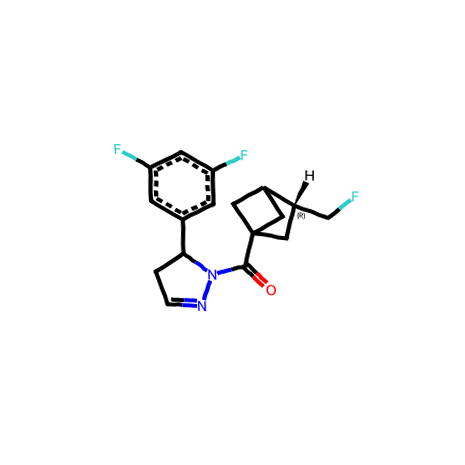 O=C(N1N=CCC1c1cc(F)cc(F)c1)C12CC(C1)[C@H](CF)C2